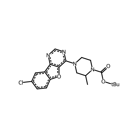 CC1CN(c2ncnc3c2oc2ccc(Cl)cc23)CCN1C(=O)OC(C)(C)C